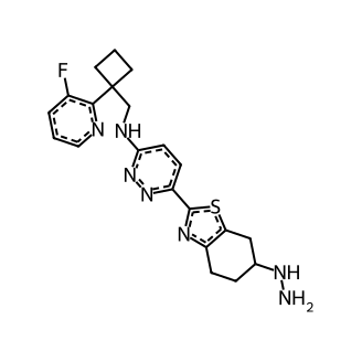 NNC1CCc2nc(-c3ccc(NCC4(c5ncccc5F)CCC4)nn3)sc2C1